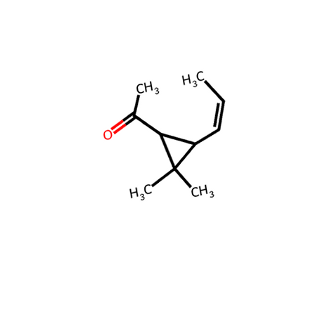 C/C=C\C1C(C(C)=O)C1(C)C